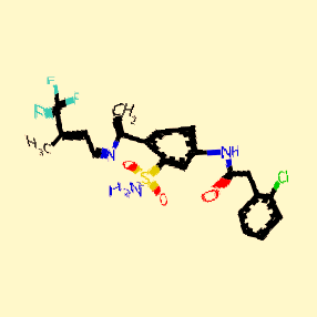 C=C(/N=C\C=C(/C)C(F)(F)F)c1ccc(NC(=O)Cc2ccccc2Cl)cc1S(N)(=O)=O